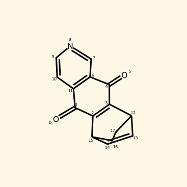 O=C1C2=C(C(=O)c3cnccc31)C1C=CC2CC1